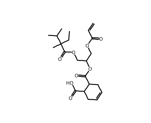 C=CC(=O)OCC(COC(=O)C(C)(CC)C(C)C)OC(=O)C1CC=CCC1C(=O)O